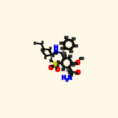 CCCC[C@]1(CC)CS(=O)(=O)c2cc(C(N)=O)c(OC)cc2[C@@H](c2ccccc2)N1